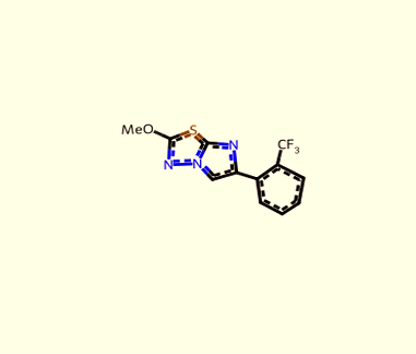 COc1nn2cc(-c3ccccc3C(F)(F)F)nc2s1